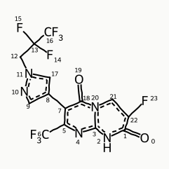 O=c1[nH]c2nc(C(F)(F)F)c(-c3cnn(CC(F)(F)C(F)(F)F)c3)c(=O)n2cc1F